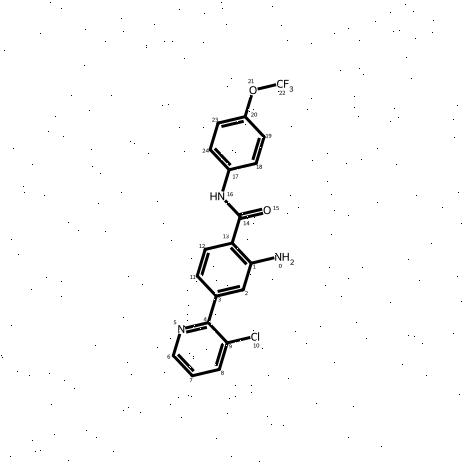 Nc1cc(-c2ncccc2Cl)ccc1C(=O)Nc1ccc(OC(F)(F)F)cc1